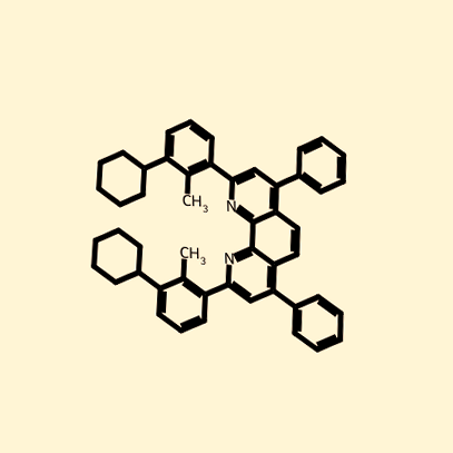 Cc1c(-c2cc(-c3ccccc3)c3ccc4c(-c5ccccc5)cc(-c5cccc(C6CCCCC6)c5C)nc4c3n2)cccc1C1CCCCC1